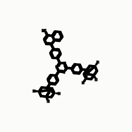 N#Cc1ccc(-c2ccc(-c3nc(-c4ccc(C56C[C@H]7C[C@H](C5)C[C@@H](C6)C7)cc4)nc(-c4ccc(C56C[C@H]7C[C@H](C5)C[C@@H](C6)C7)cc4)n3)cc2)c2ccccc12